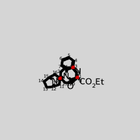 CCOC(=O)c1nc2ccccc2n(C2CC3CCC(C2)N3C2CCCCCCC2)c1=O